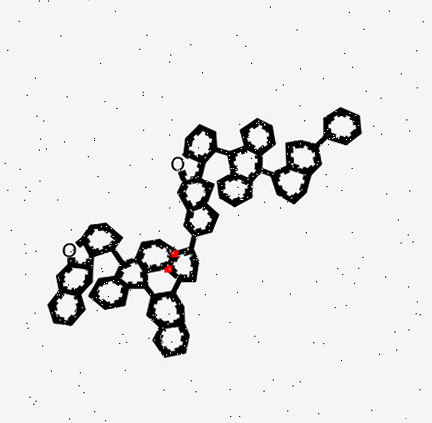 c1ccc(-c2ccc3c(-c4c5ccccc5c(-c5cccc6oc7cc8cc(-c9ccc(-c%10cc%11ccccc%11cc%10-c%10c%11ccccc%11c(-c%11cccc%12oc%13cc%14ccccc%14cc%13c%11%12)c%11ccccc%10%11)cc9)ccc8cc7c56)c5ccccc45)cccc3c2)cc1